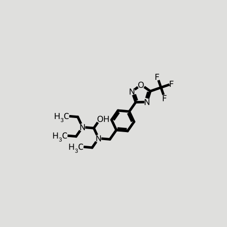 CCN(CC)C(O)N(CC)Cc1ccc(-c2noc(C(F)(F)F)n2)cc1